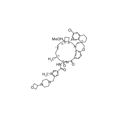 CO[C@H]1/C=C/C[C@H](C)CS(=O)(NC(=O)c2cc(CN3CCN(C4COC4)CC3)n(C)c2)=NC(=O)c2ccc3c(c2)N(C[C@@H]2CC[C@H]21)C[C@@]1(CCCc2cc(Cl)ccc21)CO3